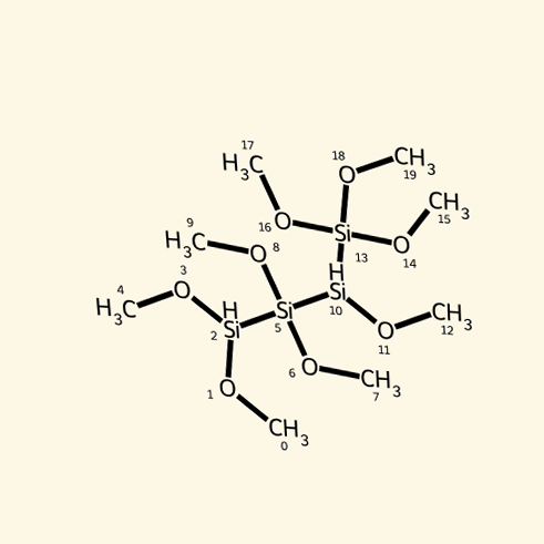 CO[SiH](OC)[Si](OC)(OC)[SiH](OC)[Si](OC)(OC)OC